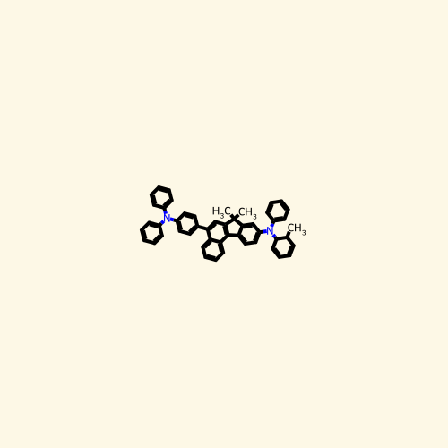 CC1C=CC=CC1N(c1ccccc1)c1ccc2c(c1)C(C)(C)c1cc(-c3ccc(N(c4ccccc4)c4ccccc4)cc3)c3ccccc3c1-2